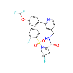 O=C(NCc1ccnc(-c2ccc(OC(F)F)cc2)c1)[C@@H]1C[C@@H](F)CN1S(=O)(=O)c1ccccc1F